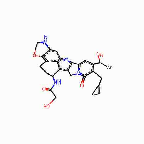 CC(=O)C(O)c1cc2n(c(=O)c1CC1CC1)Cc1c-2nc2cc3c(c4c2c1C(NC(=O)CO)CC4)OCN3